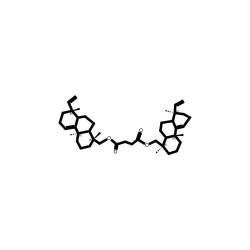 C=C[C@@]1(C)CCC=C2C1CCC1[C@](C)(COC(=O)CCC(=O)OC[C@]3(C)CCC[C@@]4(C)C5=CCC[C@](C)(C=C)C5CCC34)CCC[C@@]21C